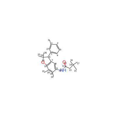 Cc1cccc(C2c3cc(NC(=O)CC(C)(C)C)c(C)c(C)c3OC2(C)C)c1